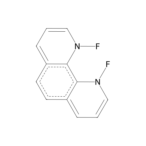 FN1C=CC=c2ccc3c(c21)N(F)C=CC=3